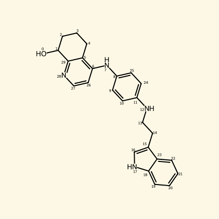 OC1CCCc2c(Nc3ccc(NCCc4c[nH]c5ccccc45)cc3)ccnc21